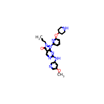 C=CCn1c(=O)c2cnc(Nc3cncc(OC)c3)nc2n1-c1cccc(OC2CCNCC2)n1